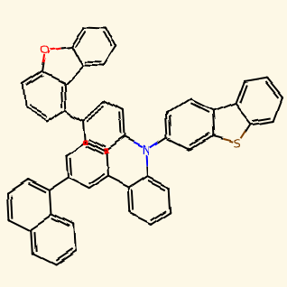 c1cc(-c2ccccc2N(c2ccc(-c3cccc4oc5ccccc5c34)cc2)c2ccc3c(c2)sc2ccccc23)cc(-c2cccc3ccccc23)c1